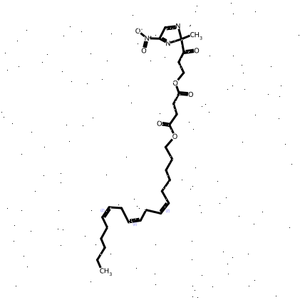 CCCCC/C=C\C/C=C\C/C=C\CCCCCOC(=O)CCC(=O)OCCC(=O)C1(C)N=CC([N+](=O)[O-])=N1